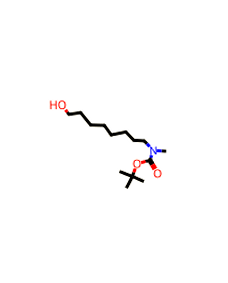 CN(CCCCCCCCO)C(=O)OC(C)(C)C